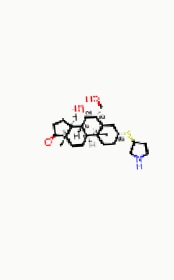 C[C@]12CC[C@@H](SC3CCNC3)CC1[C@@H](CO)[C@@H](O)[C@@H]1[C@@H]2CC[C@]2(C)C(=O)CC[C@@H]12